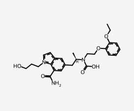 CCOc1ccccc1OCCN(C(=O)O)[C@H](C)Cc1cc(C(N)=O)c2c(ccn2CCCO)c1